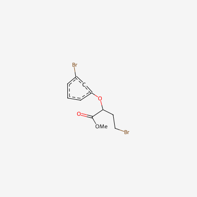 COC(=O)C(CCBr)Oc1cccc(Br)c1